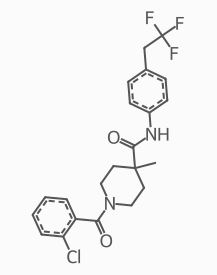 CC1(C(=O)Nc2ccc(CC(F)(F)F)cc2)CCN(C(=O)c2ccccc2Cl)CC1